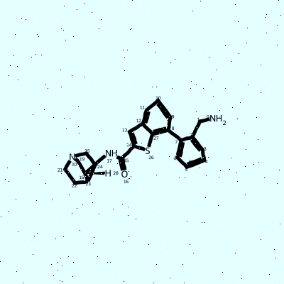 NCc1ccccc1-c1cccc2cc(C(=O)N[C@H]3CN4CCC3CC4)sc12